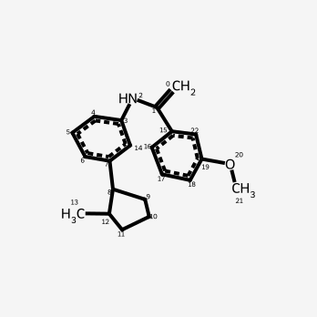 C=C(Nc1cccc(C2CCCC2C)c1)c1cccc(OC)c1